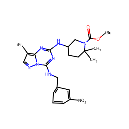 CC(C)c1cnn2c(NCc3cccc([N+](=O)[O-])c3)nc(NC3CCC(C)(C)N(C(=O)OC(C)(C)C)C3)nc12